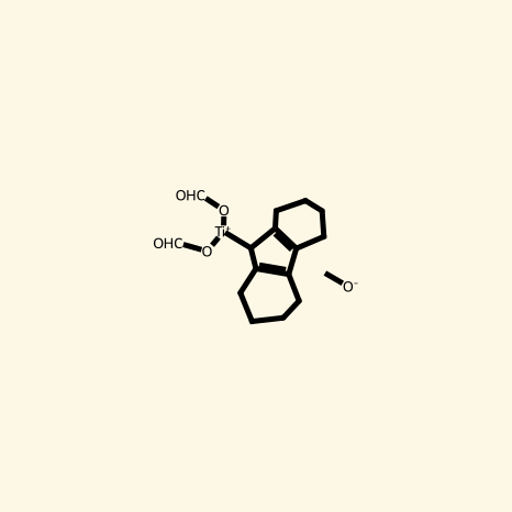 C[O-].O=C[O][Ti+]([O]C=O)[CH]1C2=C(CCCC2)C2=C1CCCC2